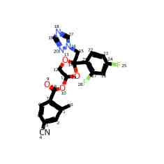 Cc1cc(C#N)ccc1C(=O)OC1COC(Cn2cncn2)(c2ccc(F)cc2F)O1